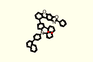 c1ccc(-c2nc3cc4c(cc3o2)oc2cccc(-c3ccc(N(c5ccccc5)c5ccc(-c6cccc7ccccc67)cc5)c(-c5ccccc5)c3)c24)cc1